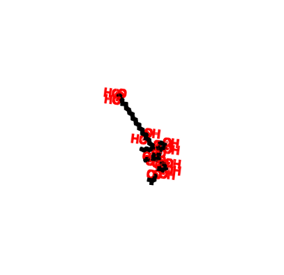 CCCCC(CCC[C@H](O)C(O)CCCCCCCCCCCCCC[C@@H](O)C(=O)O)OC1OC[C@H](O)[C@@H](O)[C@@H]1O[C@H]1OC[C@H](OC(C)=O)[C@@H](O)[C@@H]1O[C@H]1O[C@@H](COC(=O)CC(C)C)[C@H](O)[C@@H](O)[C@@H]1O